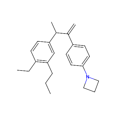 C=C(c1ccc(N2CCC2)cc1)C(C)c1ccc(CC)c(CCC)c1